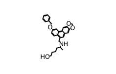 CC(CCCCO)NCc1cc2cc3c(cc2c2cc(OCc4ccccc4)ccc12)OCO3